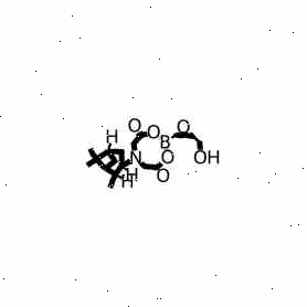 C[C@@H]1C2C[C@@H](C[C@H]1N1CC(=O)OB([C@@H]3O[C@H]3CO)OC(=O)C1)C2(C)C